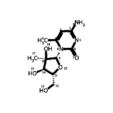 Cc1cc(N)nc(=O)n1[C@@H]1O[C@H](CO)[C@@H](O)[C@@]1(C)O